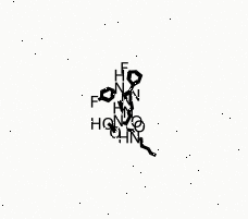 CCCCCNC(=O)C[C@H](NC(=O)O)C(=O)N1CCn2c(nc(-c3cccc(F)c3)c2Nc2ccc(F)cc2)C1